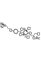 CC(=O)OC(CCl)COc1c(Cl)cc(C(C)(C)c2ccc(OCCCn3ccnc3)cc2)cc1Cl